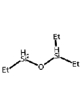 CC[SiH2]O[SiH](CC)CC